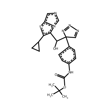 CC(C)(C)OC(=O)Nc1ccc(C2(C(O)c3c(C4CC4)sc4cncn34)C=NN=N2)cc1